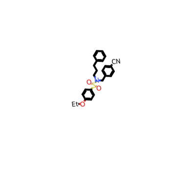 CCOc1ccc(S(=O)(=O)N(CCCc2ccccc2)Cc2ccc(C#N)cc2)cc1